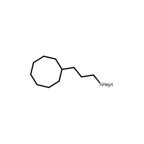 [CH2]CCCCCCCCCC1CCCCCCC1